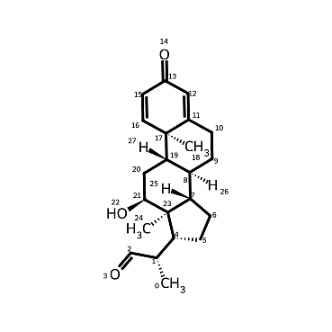 C[C@H](C=O)[C@H]1CC[C@H]2[C@@H]3CCC4=CC(=O)C=C[C@]4(C)[C@H]3C[C@H](O)[C@]12C